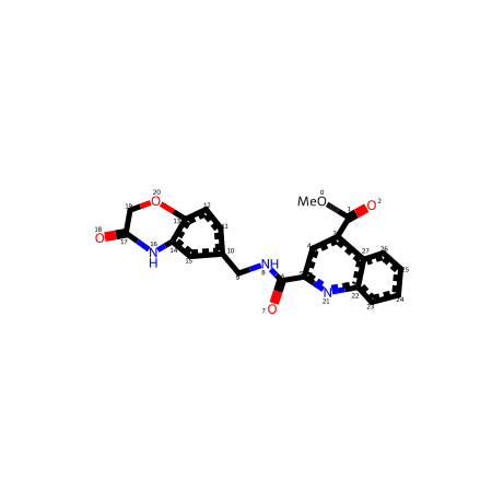 COC(=O)c1cc(C(=O)NCc2ccc3c(c2)NC(=O)CO3)nc2ccccc12